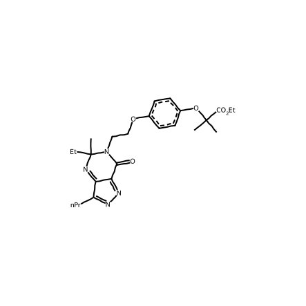 CCCC1=NN=C2C(=O)N(CCOc3ccc(OC(C)(C)C(=O)OCC)cc3)C(C)(CC)N=C12